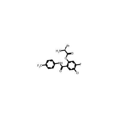 CC(C)[C@H](N)C(=O)Oc1cc(F)c(Cl)cc1C(=O)Nc1ccc(C(F)(F)F)cc1